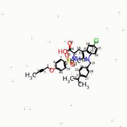 CC#CCOc1ccc(S(=O)(=O)NC(Cc2c(C)n(Cc3ccc(C(C)C)cc3)c3ccc(Cl)cc23)C(=O)O)cc1